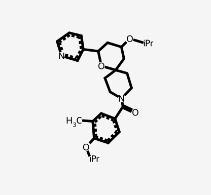 Cc1cc(C(=O)N2CCC3(CC2)CC(OC(C)C)CC(c2cccnc2)O3)ccc1OC(C)C